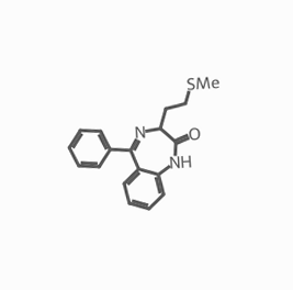 CSCCC1N=C(c2ccccc2)c2ccccc2NC1=O